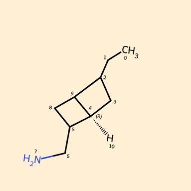 CCC1C[C@H]2C(CN)CC12